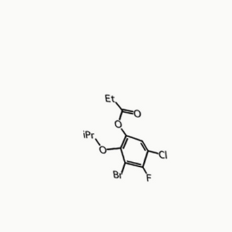 CCC(=O)Oc1cc(Cl)c(F)c(Br)c1OC(C)C